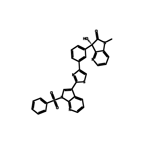 CN1C(=O)[C@](O)(c2cccc(-c3csc(-c4cn(S(=O)(=O)c5ccccc5)c5ncccc45)n3)c2)c2ncccc21